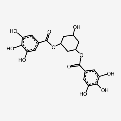 O=C(OC1CC(O)CC(OC(=O)c2cc(O)c(O)c(O)c2)C1)c1cc(O)c(O)c(O)c1